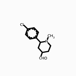 CN1CCC(C=O)CC1c1ccc(Cl)cc1